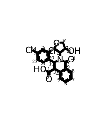 O=C(O)C1c2ccccc2C(=O)N(C2COCC2O)C1c1ccc(Cl)cc1Cl